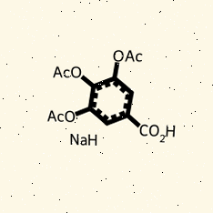 CC(=O)Oc1cc(C(=O)O)cc(OC(C)=O)c1OC(C)=O.[NaH]